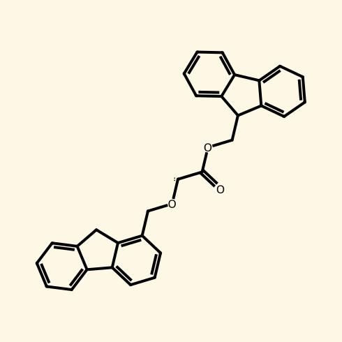 O=C([C]OCc1cccc2c1Cc1ccccc1-2)OCC1c2ccccc2-c2ccccc21